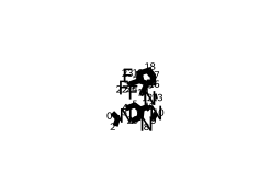 CC(C)N1CCc2c(ncnc2N(C)Cc2ccccc2C(F)(F)F)C1